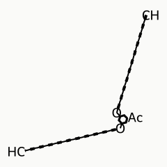 C#CC#CC#CC#CC#CC#CC#CC#CC#CC#CC#COc1cc(OC#CC#CC#CC#CC#CC#CC#CC#CC#CC#CC#C)cc(C(C)=O)c1